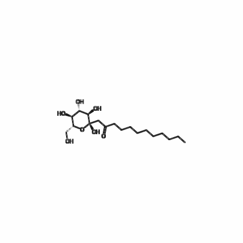 CCCCCCCCCCC(=O)C[C@]1(O)O[C@H](CO)[C@@H](O)[C@H](O)[C@H]1O